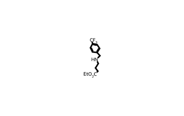 CCOC(=O)CCCNCc1ccc(C(F)(F)F)cc1